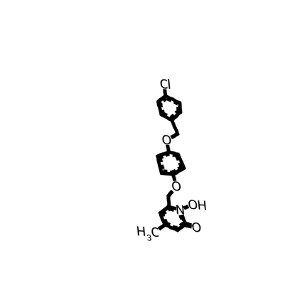 Cc1cc(COc2ccc(OCc3ccc(Cl)cc3)cc2)n(O)c(=O)c1